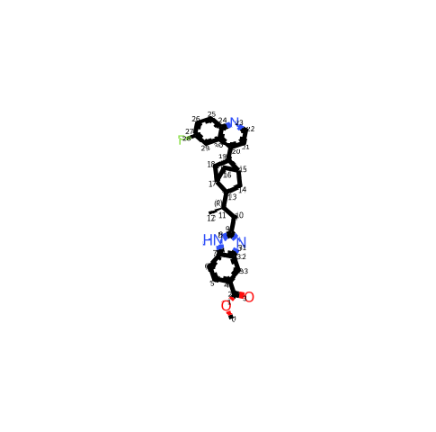 COC(=O)c1ccc2[nH]c(C[C@@H](C)C3CC4CC3CC4c3ccnc4ccc(F)cc34)nc2c1